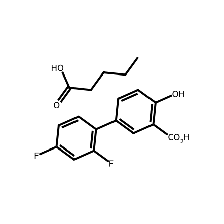 CCCCC(=O)O.O=C(O)c1cc(-c2ccc(F)cc2F)ccc1O